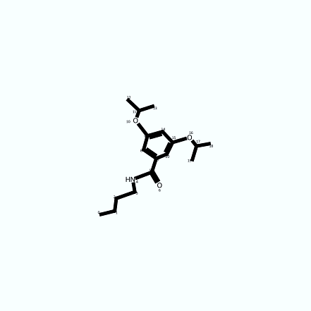 CCCCNC(=O)c1cc(OC(C)C)cc(OC(C)C)c1